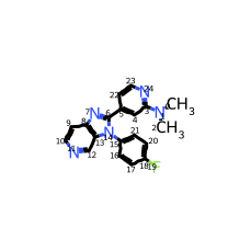 CN(C)c1cc(-c2nc3ccncc3n2-c2ccc(F)cc2)ccn1